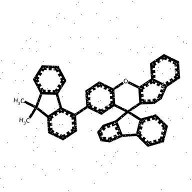 CC1(C)c2ccccc2-c2c(-c3ccc4c(c3)C3(c5ccccc5-c5ccccc53)c3ccc5ccccc5c3O4)cccc21